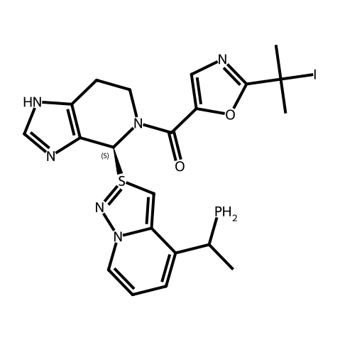 CC(P)C1=CC=CN2N=S([C@H]3c4nc[nH]c4CCN3C(=O)c3cnc(C(C)(C)I)o3)C=C12